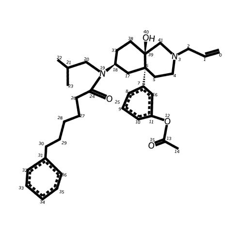 C=CCN1CC[C@@]2(c3cccc(OC(C)=O)c3)C[C@@H](N(CC(C)C)C(=O)CCCCCc3ccccc3)CC[C@]2(O)C1